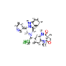 CCN1C(=O)C(C)(C)C(=O)N(C)c2cc(CN(CCc3cccnc3)Cc3nn(C)c4ccccc34)ccc21.Cl.Cl